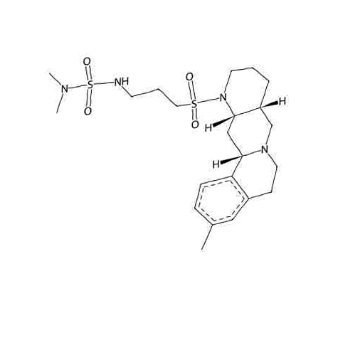 Cc1ccc2c(c1)CCN1C[C@H]3CCCN(S(=O)(=O)CCCNS(=O)(=O)N(C)C)[C@H]3C[C@@H]21